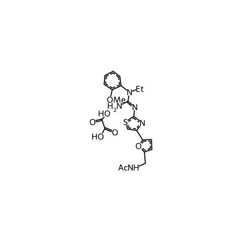 CCN(/C(N)=N/c1nc(-c2ccc(CNC(C)=O)o2)cs1)c1ccccc1OC.O=C(O)C(=O)O